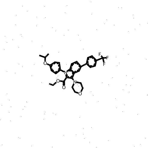 CCOC(=O)c1c(N2CCOCC2)c2cc(-c3ccc(C(F)(F)F)cc3)ccc2n1-c1ccc(OC(C)C)cc1